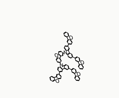 c1ccc2c(c1)oc1ccc(-c3ccc4c(c3)c3cc(-c5ccc6oc7ccccc7c6c5)ccc3n4-c3ccc4oc5ccc(-n6c7ccc(-c8ccc9oc%10ccccc%10c9c8)cc7c7cc(-c8ccc9oc%10ccccc%10c9c8)ccc76)cc5c4c3)cc12